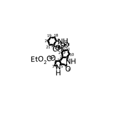 CCOC(=O)Oc1c[nH]c2c(=O)[nH]c3ccc(S(=O)(=O)Nc4ccccc4C)cc3c12